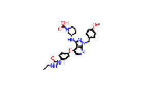 CCNC(=O)Nc1ccc(Oc2ccnc3c2c(N[C@@H]2CCCN(C(=O)O)C2)nn3Cc2ccc(OC)cc2)cc1